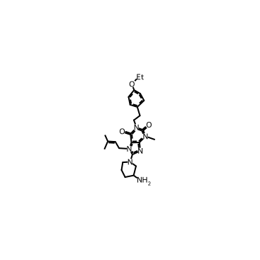 CCOc1ccc(CCn2c(=O)c3c(nc(N4CCCC(N)C4)n3CC=C(C)C)n(C)c2=O)cc1